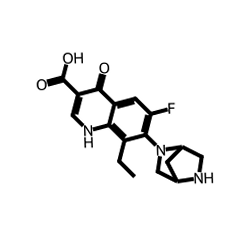 CCc1c(N2CC3CC2CN3)c(F)cc2c(=O)c(C(=O)O)c[nH]c12